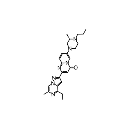 CCCN1CCN(c2ccc3nc(-c4cc5c(CC)nc(C)cn5n4)cc(=O)n3c2)C[C@H]1C